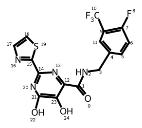 O=C(NCc1ccc(F)c(C(F)(F)F)c1)c1nc(-c2nccs2)nc(O)c1O